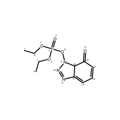 CCOP(=O)(OCC)ON1N=NC2=CC=CC(=O)C21